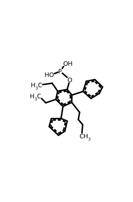 CCCCc1c(-c2ccccc2)c(CC)c(CC)c(OP(O)O)c1-c1ccccc1